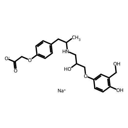 CC(Cc1ccc(OCC(=O)[O-])cc1)NCC(O)COc1ccc(O)c(CO)c1.[Na+]